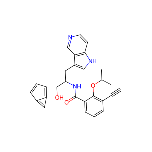 C#Cc1cccc(C(=O)NC(CO)Cc2c[nH]c3ccncc23)c1OC(C)C.c1cc2cc-2c1